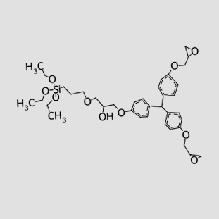 CCO[Si](CCCOCC(O)COc1ccc(C(c2ccc(OCC3CO3)cc2)c2ccc(OCC3CO3)cc2)cc1)(OCC)OCC